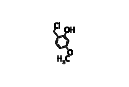 COc1ccc(CCl)c(O)c1